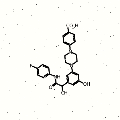 CC(C(=O)Nc1ccc(F)cc1)c1cc(O)cc(N2CCN(c3ccc(C(=O)O)cc3)CC2)c1